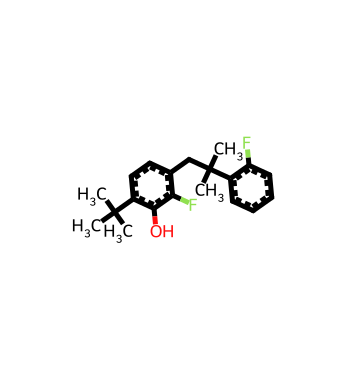 CC(C)(C)c1ccc(CC(C)(C)c2ccccc2F)c(F)c1O